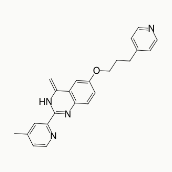 C=C1NC(c2cc(C)ccn2)=Nc2ccc(OCCCc3ccncc3)cc21